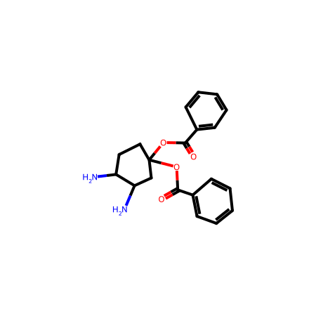 NC1CCC(OC(=O)c2ccccc2)(OC(=O)c2ccccc2)CC1N